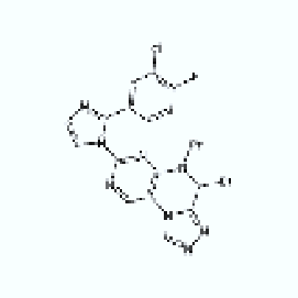 CCC1c2nncn2-c2cnc(-n3ccnc3-c3ccc(F)c(Cl)c3)nc2N1C(C)C